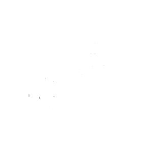 O=C1CC(c2ccccc2)(c2ccccc2)C(=O)N1CCCCN1CCN(C2=Nc3ccccc3Sc3ccccc32)CC1